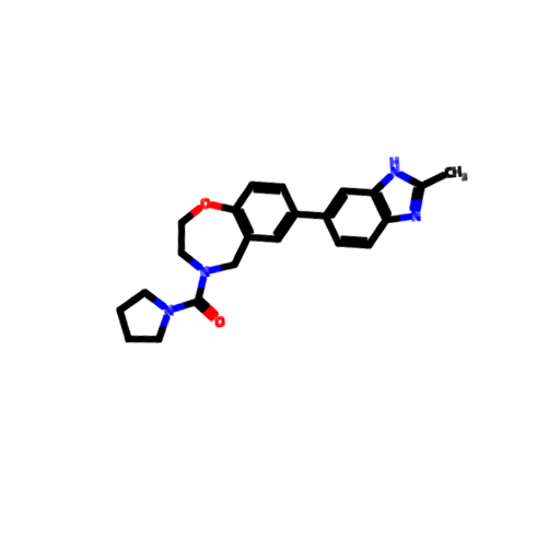 Cc1nc2ccc(-c3ccc4c(c3)CN(C(=O)N3CCCC3)CCO4)cc2[nH]1